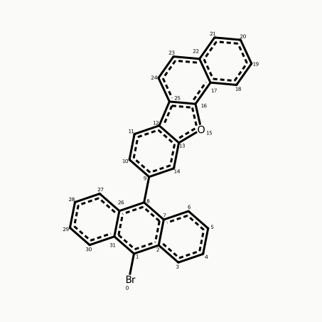 Brc1c2ccccc2c(-c2ccc3c(c2)oc2c4ccccc4ccc32)c2ccccc12